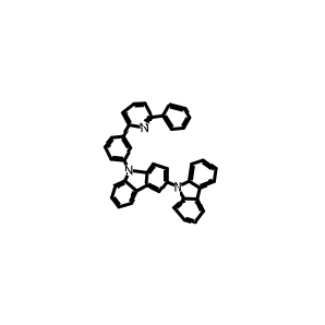 c1ccc(-c2cccc(-c3cccc(-n4c5ccccc5c5cc(-n6c7ccccc7c7ccccc76)ccc54)c3)n2)cc1